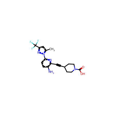 Cc1cc(C(F)(F)F)nn1-c1ccc(N)c(C#CC2CCN(C(=O)O)CC2)n1